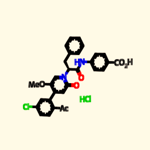 COc1cn([C@@H](Cc2ccccc2)C(=O)Nc2ccc(C(=O)O)cc2)c(=O)cc1-c1cc(Cl)ccc1C(C)=O.Cl